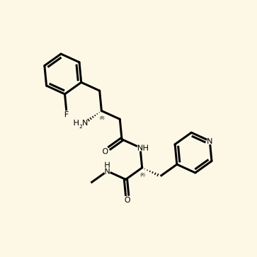 CNC(=O)[C@@H](Cc1ccncc1)NC(=O)C[C@H](N)Cc1ccccc1F